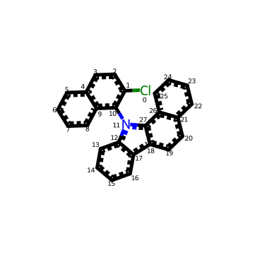 Clc1ccc2ccccc2c1-n1c2ccccc2c2ccc3ccccc3c21